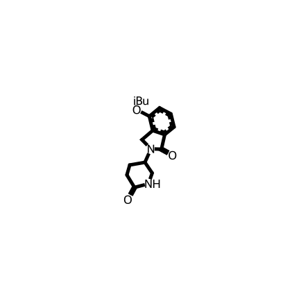 CCC(C)Oc1cccc2c1CN(C1CCC(=O)NC1)C2=O